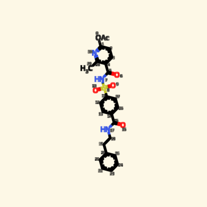 CC(=O)Oc1ccc(C(=O)NS(=O)(=O)c2ccc(C(=O)NCCc3ccccc3)cc2)c(C)n1